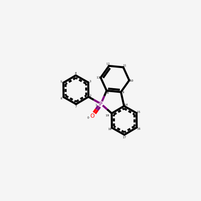 O=P1(c2ccccc2)C2=C(CCC=C2)c2ccccc21